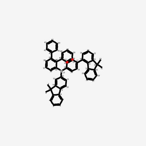 CC1(C)c2ccccc2-c2ccc(N(c3ccc(-c4cccc5c4-c4ccccc4C5(C)C)cc3)c3cccc(-c4ccccc4)c3-c3ccccc3)cc21